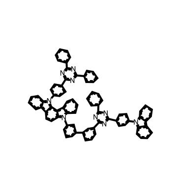 c1ccc(-c2nc(-c3ccccc3)nc(-c3ccc(-n4c5ccccc5c5ccc6c(c7ccccc7n6-c6cccc(-c7cccc(-c8nc(-c9ccccc9)nc(-c9ccc(-n%10c%11ccccc%11c%11ccccc%11%10)cc9)n8)c7)c6)c54)cc3)n2)cc1